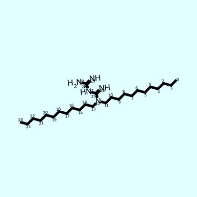 CCCCCCCCCCCCN(CCCCCCCCCCCC)C(=N)NC(=N)N